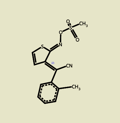 Cc1ccccc1/C(C#N)=C1\C=CSC1=NOS(C)(=O)=O